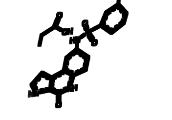 CCC(=O)O.COc1cccc(S(=O)(=O)Nc2ccc3[nH]c(=O)c4[nH]ccc4c3c2)c1